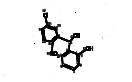 N#CC(c1ccccc1O)c1nc(Cl)ccc1[N+](=O)[O-]